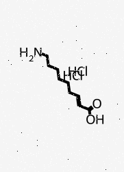 Cl.Cl.NCCCCCC/C=C/C(=O)O